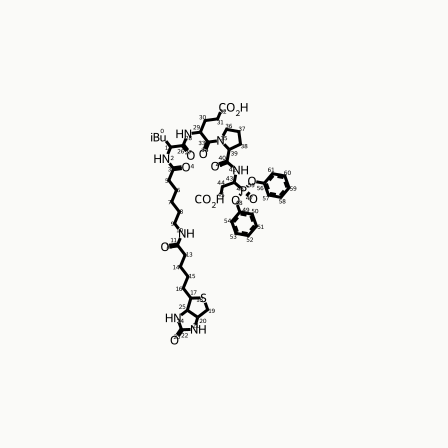 CCC(C)C(NC(=O)CCCCCNC(=O)CCCCC1SCC2NC(=O)NC21)C(=O)NC(CCC(=O)O)C(=O)N1CCCC1C(=O)NC(CC(=O)O)P(=O)(Oc1ccccc1)Oc1ccccc1